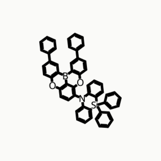 c1ccc(-c2ccc3c(c2)B2c4cc(-c5ccccc5)ccc4Oc4c(N5c6ccccc6[Si](c6ccccc6)(c6ccccc6)c6ccccc65)ccc(c42)O3)cc1